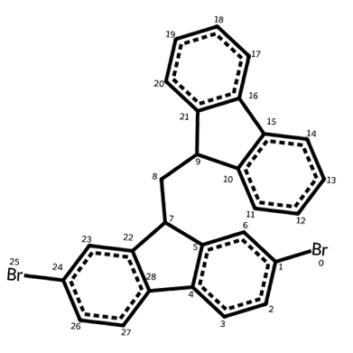 Brc1ccc2c(c1)C(CC1c3ccccc3-c3ccccc31)c1cc(Br)ccc1-2